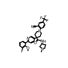 COc1c(F)cccc1-c1ccc(C2(C(=O)N[C@@H]3CCN(C)C3)CCN(c3ccc(C(F)(F)F)cc3C#N)CC2)cn1